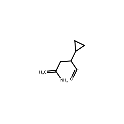 C=C(N)CC([C]=O)C1CC1